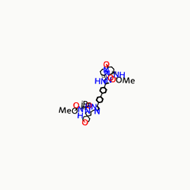 COC(=O)N[C@H]1CCC(=O)N2CCC[C@@H](c3ncc(-c4ccc(-c5ccc(-c6cnc(C7CC8(CCOCC8)CN7C(=O)[C@@H](NC(=O)OC)C(C)C)[nH]6)cc5)cc4)[nH]3)N2C1=O